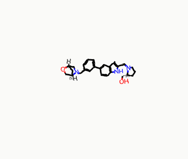 OC[C@H]1CCCN1Cc1cc2cc(-c3cccc(CN4C[C@@H]5C[C@H]4CO5)c3)ccc2[nH]1